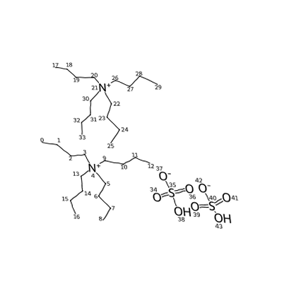 CCCC[N+](CCCC)(CCCC)CCCC.CCCC[N+](CCCC)(CCCC)CCCC.O=S(=O)([O-])O.O=S(=O)([O-])O